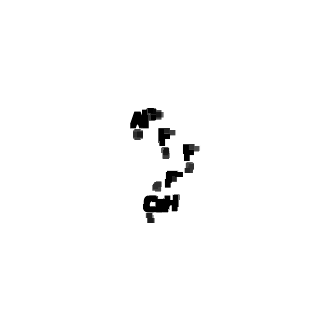 [Al+3].[CsH].[F-].[F-].[F-]